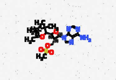 C[SiH](C)OC([C@H]1O[C@@H](n2cnc3c(N)ncnc32)[C@@H]1COS(C)(=O)=O)C(C)(C)C